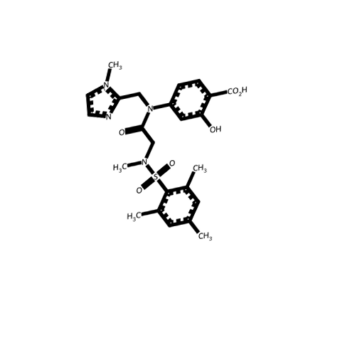 Cc1cc(C)c(S(=O)(=O)N(C)CC(=O)N(Cc2nccn2C)c2ccc(C(=O)O)c(O)c2)c(C)c1